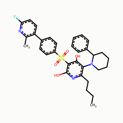 CCCCc1nc(O)c(S(=O)(=O)c2ccc(-c3ccc(F)nc3C)cc2)c(O)c1N1CCCCC1c1ccccc1